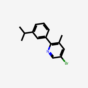 Cc1cc(Br)cnc1-c1cccc(C(C)C)c1